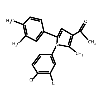 CC(=O)c1cc(-c2ccc(C)c(C)c2)n(-c2ccc(Cl)c(Cl)c2)c1C